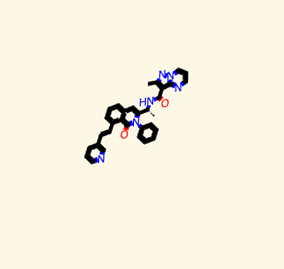 Cc1nn2cccnc2c1C(=O)N[C@H](C)c1cc2cccc(/C=C/c3cccnc3)c2c(=O)n1-c1ccccc1